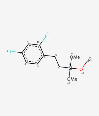 CO[Si](CCc1ccc(F)cc1F)(OC)OC(C)C